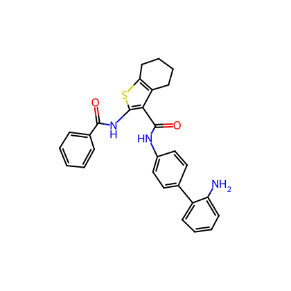 Nc1ccccc1-c1ccc(NC(=O)c2c(NC(=O)c3ccccc3)sc3c2CCCC3)cc1